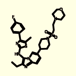 CCc1nc2ccc(C3CCN(S(=O)(=O)CCN4CCOCC4)CC3)cn2c1Nc1nc(-c2ccc(F)cc2)c(C)s1